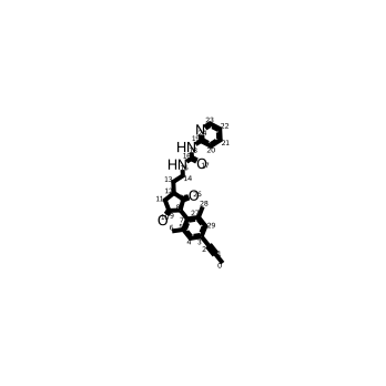 CC#Cc1cc(C)c(C2C(=O)CC(CCNC(=O)Nc3ccccn3)C2=O)c(C)c1